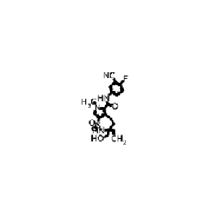 C=CC1(CO)CCc2c(cn(C)c2C(=O)Nc2ccc(F)c(C#N)c2)S(=O)(=O)N1